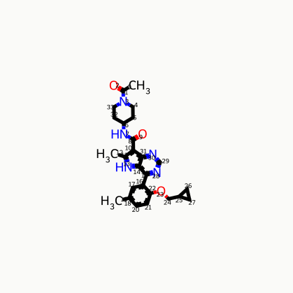 CC(=O)N1CCC(NC(=O)c2c(C)[nH]c3c(-c4cc(C)ccc4OCC4CC4)ncnc23)CC1